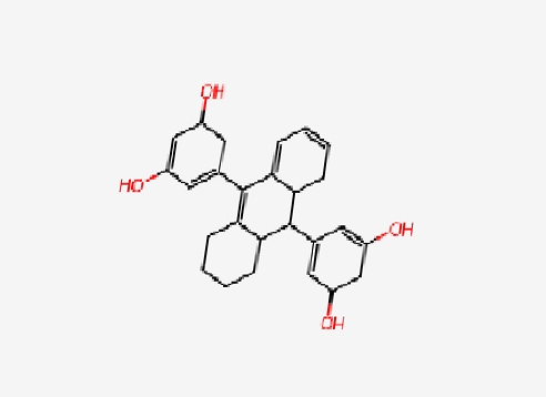 OC1=CC(O)CC(C2=C3CCCCC3C(C3=CC(O)CC(O)=C3)C3CC=CC=C23)=C1